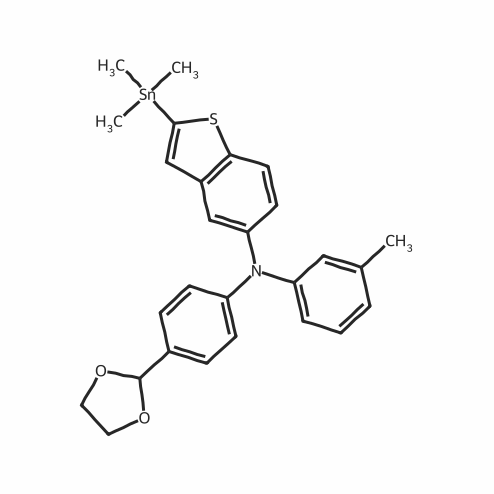 Cc1cccc(N(c2ccc(C3OCCO3)cc2)c2ccc3s[c]([Sn]([CH3])([CH3])[CH3])cc3c2)c1